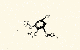 [CH2]c1c(OC(F)(F)F)cc(Cl)cc1OC(F)(F)F